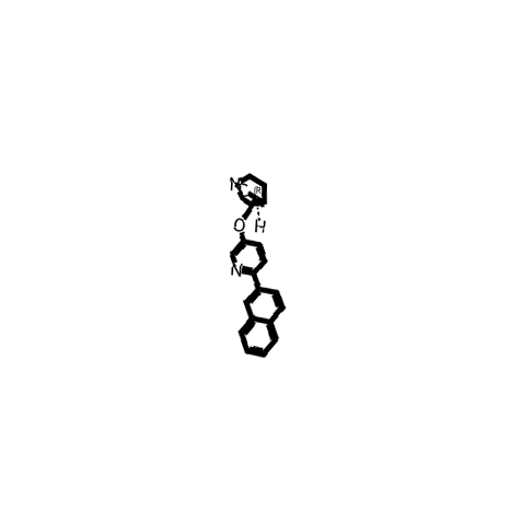 c1ccc2cc(-c3ccc(O[C@H]4CN5CCC4CC5)cn3)ccc2c1